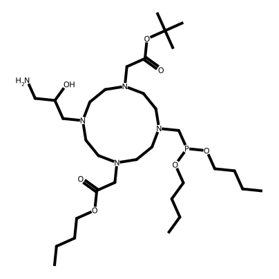 CCCCOC(=O)CN1CCN(CC(O)CN)CCN(CC(=O)OC(C)(C)C)CCN(CP(OCCCC)OCCCC)CC1